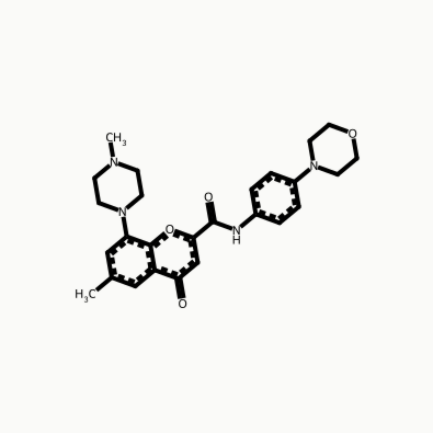 Cc1cc(N2CCN(C)CC2)c2oc(C(=O)Nc3ccc(N4CCOCC4)cc3)cc(=O)c2c1